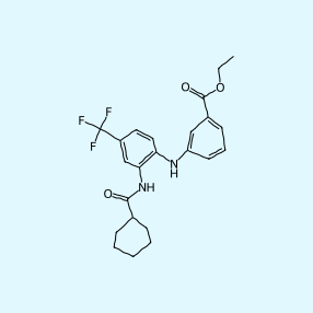 CCOC(=O)c1cccc(Nc2ccc(C(F)(F)F)cc2NC(=O)C2CCCCC2)c1